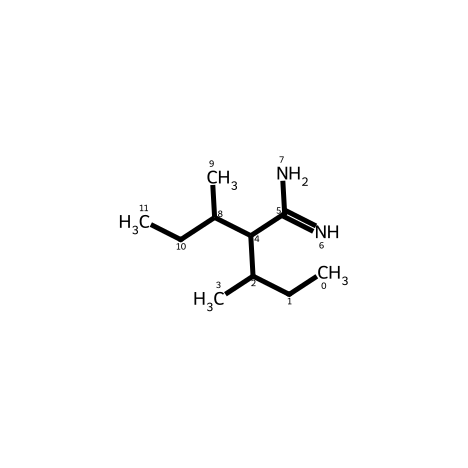 CCC(C)C(C(=N)N)C(C)CC